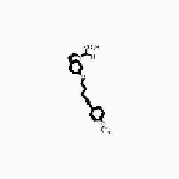 CC(C(=O)O)n1ccc2ccc(OCCCC#Cc3ccc(OC(F)(F)F)cc3)cc21